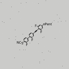 CCCCCc1cc(F)c(C#Cc2ccc(-c3ccc(SC#N)c(F)c3)c(F)c2)c(F)c1